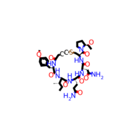 CC[C@H](C)[C@@H]1NC(=O)[C@H](Cc2ccc(OC)cc2)NC(=O)CCCSC[C@@H](C(=O)N2CCC[C@H]2C(C)=O)NC(=O)[C@H](CC(N)=O)NC(=O)[C@H](CCC(N)=O)NC1=O